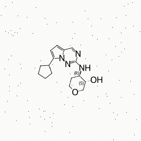 O[C@@H]1COCC[C@H]1Nc1ncc2ccc(C3CCCC3)n2n1